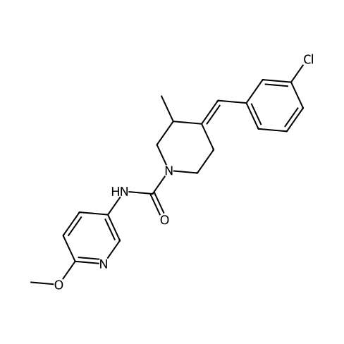 COc1ccc(NC(=O)N2CC/C(=C\c3cccc(Cl)c3)C(C)C2)cn1